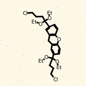 CCOC(CCCCl)(OCC)c1ccc2c(c1)Cc1cc(C(CCCCl)(OCC)OCC)ccc1O2